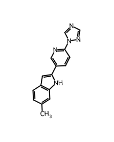 Cc1ccc2cc(-c3ccc(-n4cncn4)nc3)[nH]c2c1